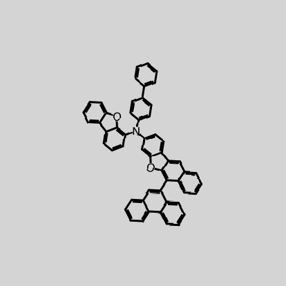 c1ccc(-c2ccc(N(c3ccc4c(c3)oc3c(-c5cc6ccccc6c6ccccc56)c5ccccc5cc34)c3cccc4c3oc3ccccc34)cc2)cc1